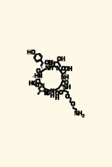 C[C@@H]1C[C@H]2C(=O)N[C@H](O)C[C@H](NC(=O)COCCOCCN)C(=O)N[C@@H]([C@@H](C)O)C(=O)N3C[C@H](O)C[C@H]3C(=O)N[C@@H](C[C@@H](O)c3ccc(O)cc3)C(=O)N[C@@H]([C@@H](C)O)C(=O)N2C1